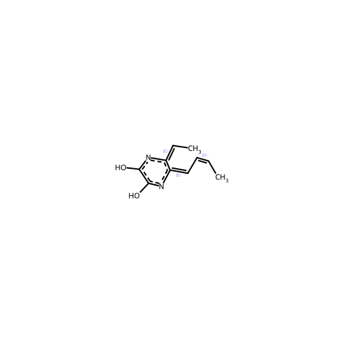 C\C=C/C=c1/nc(O)c(O)n/c1=C/C